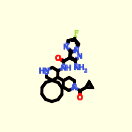 Nc1nn2cc(F)cnc2c1C(=O)NC1CNCC2(CCCCCCCCC2)C1C1CCN(C(=O)C2CC2)CC1